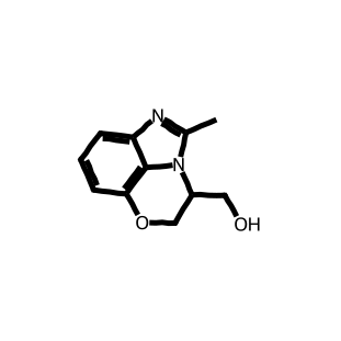 Cc1nc2cccc3c2n1C(CO)CO3